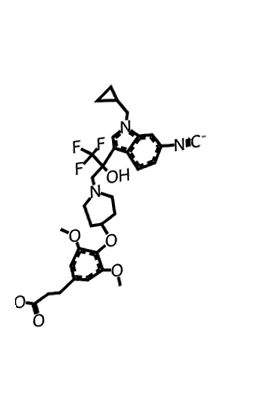 [C-]#[N+]c1ccc2c(C(O)(CN3CCC(Oc4c(OC)cc(CCC(=O)O)cc4OC)CC3)C(F)(F)F)cn(CC3CC3)c2c1